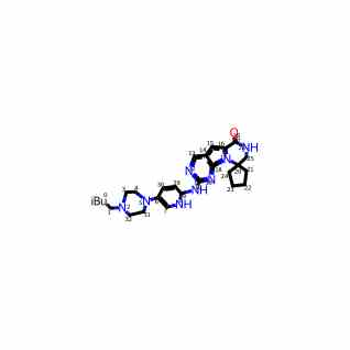 CCC(C)CN1CCN(C2=CNC(Nc3ncc4cc5n(c4n3)C3(CCCC3)CNC5=O)C=C2)CC1